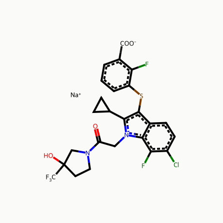 O=C([O-])c1cccc(Sc2c(C3CC3)n(CC(=O)N3CCC(O)(C(F)(F)F)C3)c3c(F)c(Cl)ccc23)c1F.[Na+]